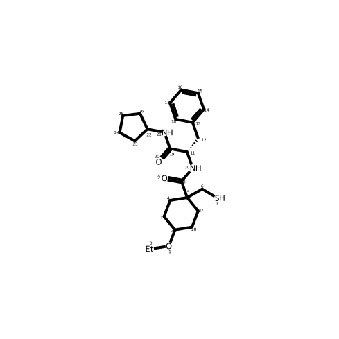 CCOC1CCC(CS)(C(=O)N[C@@H](Cc2ccccc2)C(=O)NC2CCCC2)CC1